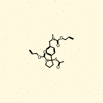 C=CCOC(=O)N(C)Cc1ccc(C2(SC(C)=O)CCCN2C(=O)OCC=C)cc1